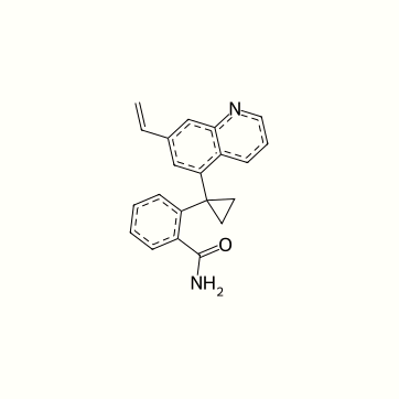 C=Cc1cc(C2(c3ccccc3C(N)=O)CC2)c2cccnc2c1